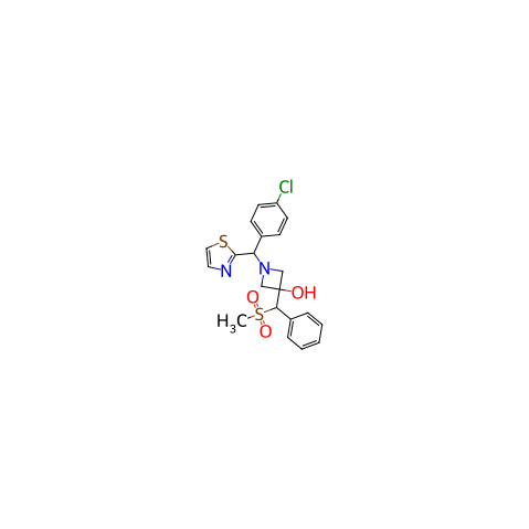 CS(=O)(=O)C(c1ccccc1)C1(O)CN(C(c2ccc(Cl)cc2)c2nccs2)C1